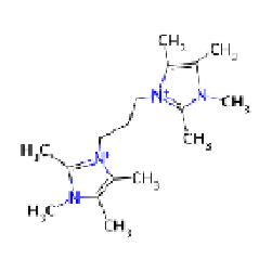 Cc1c(C)[n+](CCC[n+]2c(C)c(C)n(C)c2C)c(C)n1C